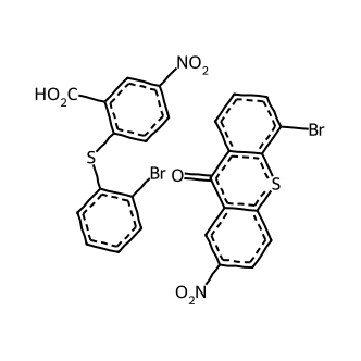 O=C(O)c1cc([N+](=O)[O-])ccc1Sc1ccccc1Br.O=c1c2cc([N+](=O)[O-])ccc2sc2c(Br)cccc12